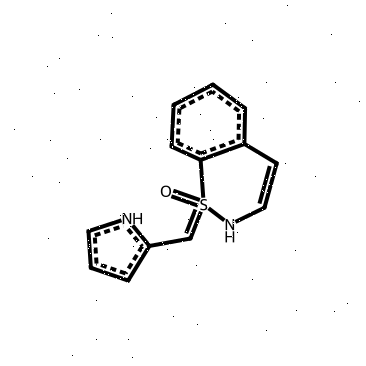 O=S1(=Cc2ccc[nH]2)NC=Cc2ccccc21